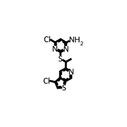 CC(Sc1nc(N)cc(Cl)n1)c1cc2c(Cl)csc2cn1